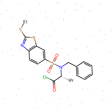 CCSc1nc2ccc(S(=O)(=O)N(Cc3ccccc3)[C@@H](C(=O)Cl)C(C)C)cc2s1